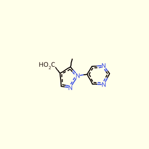 Cc1c(C(=O)O)cnn1-c1cncnc1